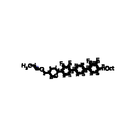 C/C=C/OCC1CCC(c2ccc(-c3ccc(-c4ccc(CCCCCCCC)c(F)c4F)cc3)c(F)c2F)OC1